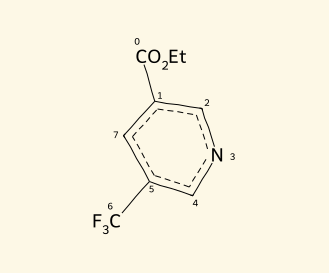 CCOC(=O)c1cncc(C(F)(F)F)c1